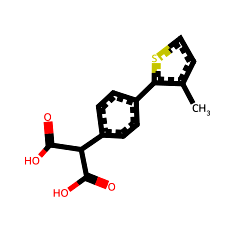 Cc1ccsc1-c1ccc(C(C(=O)O)C(=O)O)cc1